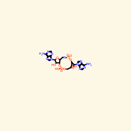 Nc1ncnc2c1ncn2C1OC2CNS(=O)(=O)OC3C(O)C(COP(=O)(O)OC2C1O)OC3n1cnc2c(N)ncnc21